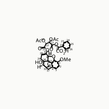 COc1ccc2c3c1O[C@@H]1C(OC(=O)[C@H](OC(C)=O)[C@@H](OC(C)=O)C(=O)O[C@H](C(=O)O)c4ccccc4)=CC[C@]4(O)[C@@H](CCC[C@@]314)C2